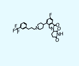 O=C1CCC(N2Cc3c(cc(F)cc3C3CCN(CCCc4cccc(C(F)(F)F)c4)CC3)C2=O)C(=O)N1